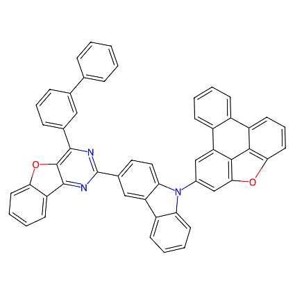 c1ccc(-c2cccc(-c3nc(-c4ccc5c(c4)c4ccccc4n5-c4cc5oc6cccc7c8ccccc8c(c4)c5c67)nc4c3oc3ccccc34)c2)cc1